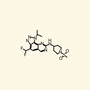 CC(C)n1nnc2c(C(F)F)cc3cnc(NC4CCN(S(C)(=O)=O)CC4)nc3c21